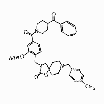 COc1cc(C(=O)N2CCC(C(=O)c3ccccc3)CC2)ccc1CN1CC2(CCN(Cc3ccc(C(F)(F)F)cc3)CC2)OC1=O